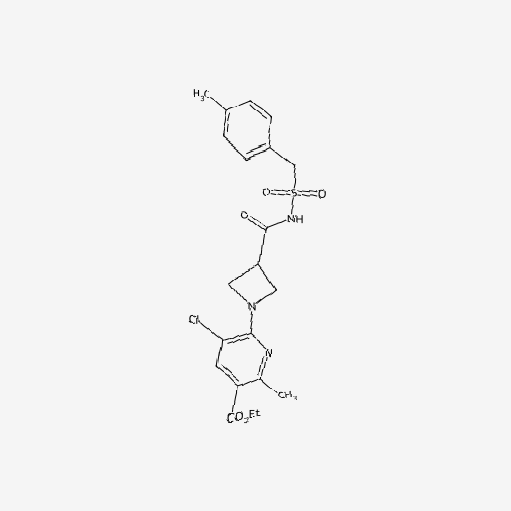 CCOC(=O)c1cc(Cl)c(N2CC(C(=O)NS(=O)(=O)Cc3ccc(C)cc3)C2)nc1C